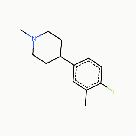 Cc1cc(C2CCN(C)CC2)ccc1F